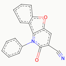 N#Cc1cc2oc3ccccc3c2n(-c2ccccc2)c1=O